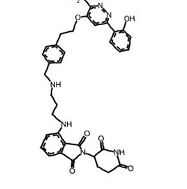 Nc1nnc(-c2ccccc2O)cc1OCCc1ccc(CNCCCNc2cccc3c2C(=O)N(C2CCC(=O)NC2=O)C3=O)cc1